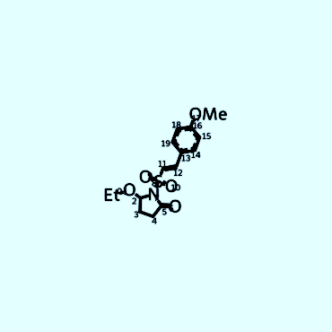 CCOC1CCC(=O)N1S(=O)(=O)C=Cc1ccc(OC)cc1